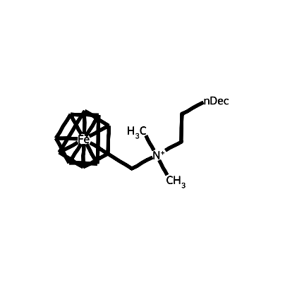 CCCCCCCCCCCC[N+](C)(C)C[C]12[CH]3[CH]4[CH]5[CH]1[Fe]45321678[CH]2[CH]1[CH]6[CH]7[CH]28